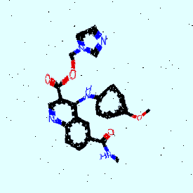 CNC(=O)c1ccc2ncc(C(=O)OCn3ccnc3)c(Nc3ccc(OC)cc3)c2c1